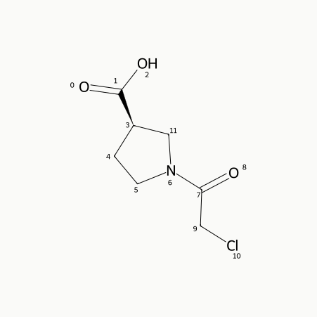 O=C(O)[C@@H]1CCN(C(=O)CCl)C1